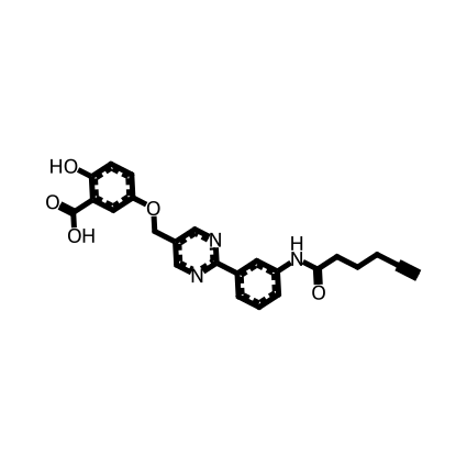 C#CCCCC(=O)Nc1cccc(-c2ncc(COc3ccc(O)c(C(=O)O)c3)cn2)c1